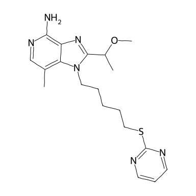 COC(C)c1nc2c(N)ncc(C)c2n1CCCCCSc1ncccn1